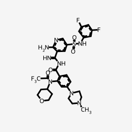 CN1CCN(c2ccc(C(=O)NC(=N)c3cc(S(=O)(=O)Nc4cc(F)cc(F)c4)cnc3N)c(N(C(=O)C(F)(F)F)C3CCOCC3)c2)CC1